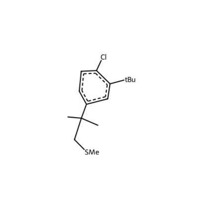 CSCC(C)(C)c1ccc(Cl)c(C(C)(C)C)c1